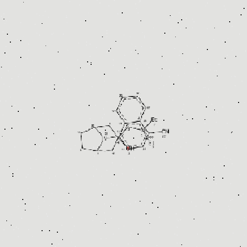 CCN(CC)CC1(O)CC2CCC(C1)N2c1ccc(C#N)c2ccccc12